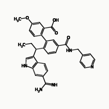 CCC(c1ccc(C(=O)NCc2ccncc2)cc1-c1ccc(OC)cc1C(=O)O)c1c[nH]c2cc(C(=N)N)ccc12